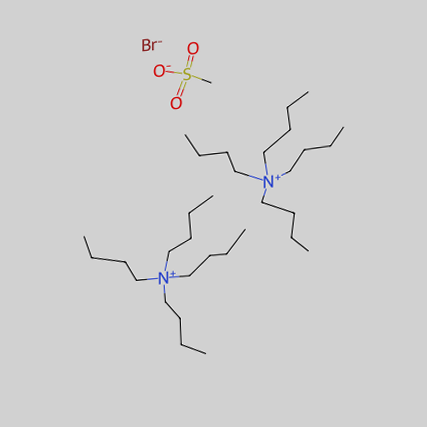 CCCC[N+](CCCC)(CCCC)CCCC.CCCC[N+](CCCC)(CCCC)CCCC.CS(=O)(=O)[O-].[Br-]